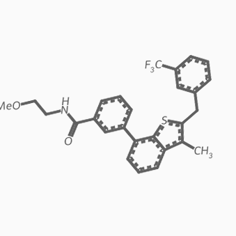 COCCNC(=O)c1cccc(-c2cccc3c(C)c(Cc4cccc(C(F)(F)F)c4)sc23)c1